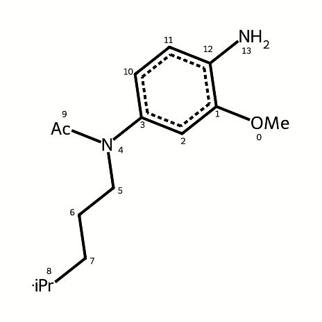 COc1cc(N(CCC[C](C)C)C(C)=O)ccc1N